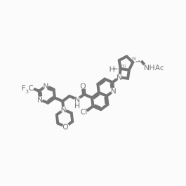 CC(=O)NC[C@H]1CC[C@H]2C1CN2c1ccc2c(C(=O)NCC(c3cnc(C(F)(F)F)nc3)N3CCOCC3)c(Cl)ccc2n1